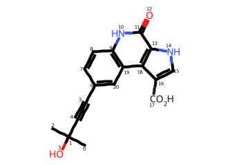 CC(C)(O)C#Cc1ccc2[nH]c(=O)c3[nH]cc(C(=O)O)c3c2c1